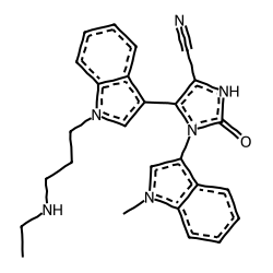 CCNCCCn1cc(-c2c(C#N)[nH]c(=O)n2-c2cn(C)c3ccccc23)c2ccccc21